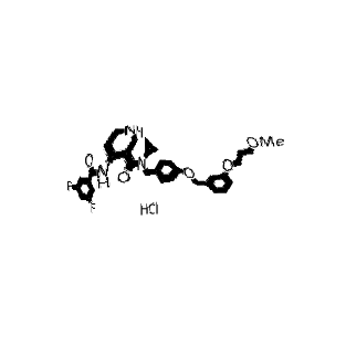 COCCCOc1cccc(COc2ccc(CN(C(=O)C3CNCCC3NC(=O)c3cc(F)cc(F)c3)C3CC3)cc2)c1.Cl